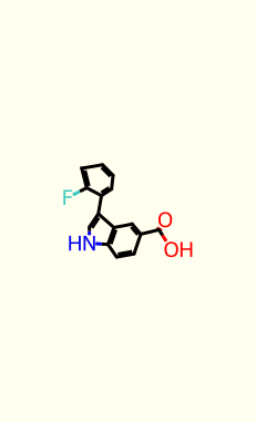 O=C(O)c1ccc2[nH]cc(-c3ccccc3F)c2c1